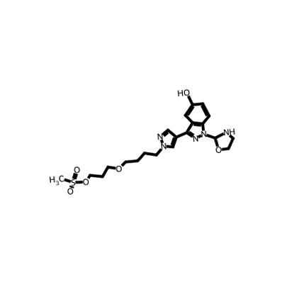 CS(=O)(=O)OCCCOCCCCn1cc(-c2nn(C3NCCO3)c3ccc(O)cc23)cn1